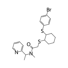 CC(c1ccccn1)N(C)C(=O)CSC1CCCCC1Sc1ccc(Br)cc1